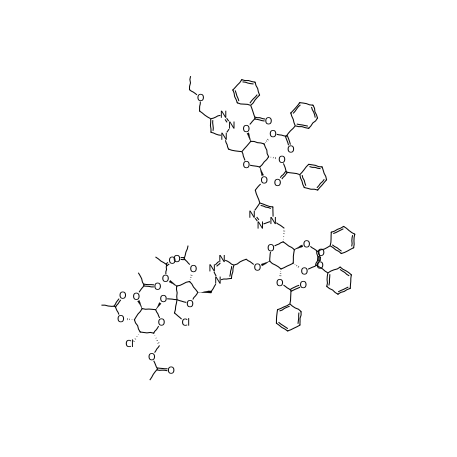 CCOCc1cn(CC2O[C@H](OCc3cn(C[C@H]4O[C@H](OCc5cn(C[C@H]6OC(CCl)(O[C@H]7O[C@H](COC(C)=O)[C@H](Cl)[C@H](OC(C)=O)[C@H]7OC(C)=O)[C@@H](OC(C)=O)[C@@H]6OC(C)=O)nn5)[C@@H](OC(=O)c5ccccc5)[C@@H](OC(=O)c5ccccc5)[C@@H]4OC(=O)c4ccccc4)nn3)[C@@H](OC(=O)c3ccccc3)[C@@H](OC(=O)c3ccccc3)[C@@H]2OC(=O)c2ccccc2)nn1